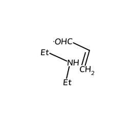 C=C[C]=O.CCNCC